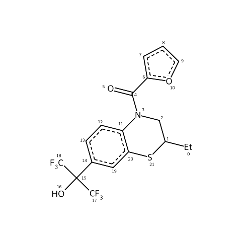 CCC1CN(C(=O)c2ccco2)c2ccc(C(O)(C(F)(F)F)C(F)(F)F)cc2S1